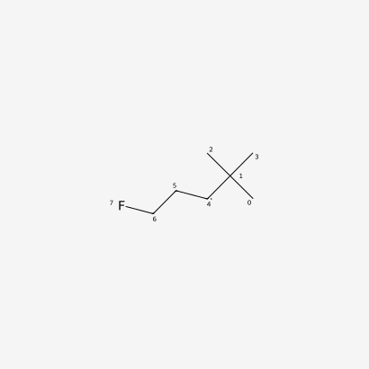 CC(C)(C)[CH]CCF